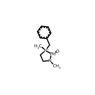 CN1CC[N+](C)(Cc2ccccc2)[PH]1=O